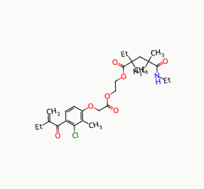 C=C(CC)C(=O)c1ccc(OCC(=O)OCCOC(=O)C(C)(CC)CC(C)(C)C(=O)NCC)c(C)c1Cl